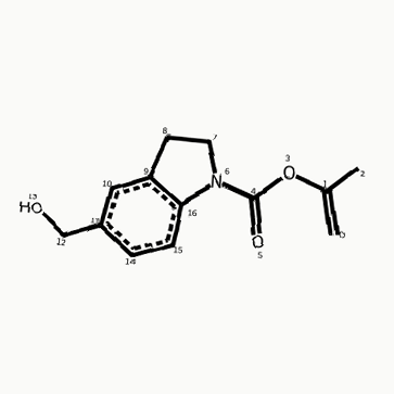 C=C(C)OC(=O)N1CCc2cc(CO)ccc21